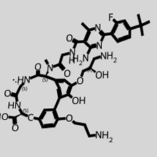 Cc1nc(-c2ccc(C(C)(C)C)cc2F)nc(N)c1C(=O)NCC(=O)N(C)[C@@H]1C(=O)N[C@@H](C)C(=O)N[C@H](C(=O)O)Cc2ccc(OCCCN)c(c2)-c2cc1cc(OC[C@H](O)CN)c2O